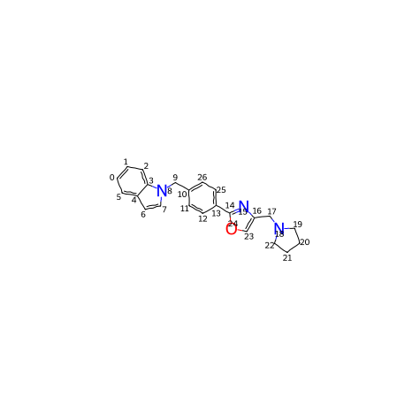 c1ccc2c(c1)ccn2Cc1ccc(-c2nc(CN3CCCC3)co2)cc1